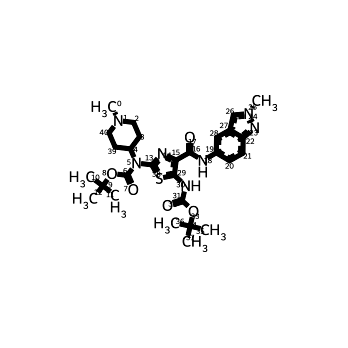 CN1CCC(N(C(=O)OC(C)(C)C)c2nc(C(=O)Nc3ccc4nn(C)cc4c3)c(NC(=O)OC(C)(C)C)s2)CC1